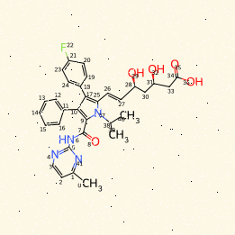 Cc1ccnc(NC(=O)c2c(-c3ccccc3)c(-c3ccc(F)cc3)c(/C=C/[C@@H](O)C[C@@H](O)CC(=O)O)n2C(C)C)n1